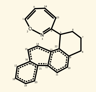 C1=CON=C(C2CCCc3ccc4c(ccc5ccccc54)c32)C=C1